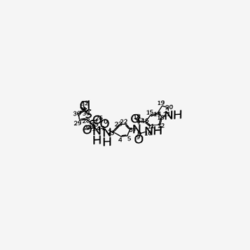 O=C(Nc1ccc(-n2c(=O)[nH]c3cc4c(cc3c2=O)CCN4)cc1)NS(=O)(=O)c1ccc(Cl)s1